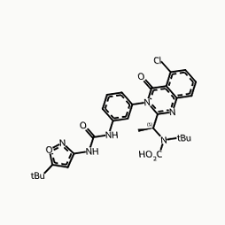 C[C@@H](c1nc2cccc(Cl)c2c(=O)n1-c1cccc(NC(=O)Nc2cc(C(C)(C)C)on2)c1)N(C(=O)O)C(C)(C)C